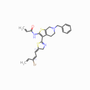 C=CC(=O)Nc1sc2c(c1C1=NC/C(=C\C=C(\Br)C=C)S1)CCN(Cc1ccccc1)C2